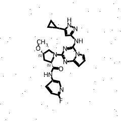 CO[C@H]1C[C@@H](C(=O)Nc2ccc(F)nc2)N(c2nc(Nc3cc(C4CC4)[nH]n3)n3cccc3n2)C1